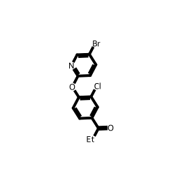 CCC(=O)c1ccc(Oc2ccc(Br)cn2)c(Cl)c1